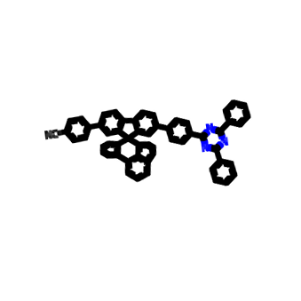 N#Cc1ccc(-c2ccc3c(c2)C2(c4cc(-c5ccc(-c6nc(-c7ccccc7)nc(-c7ccccc7)n6)cc5)ccc4-3)c3ccccc3-c3cccc4cccc2c34)cc1